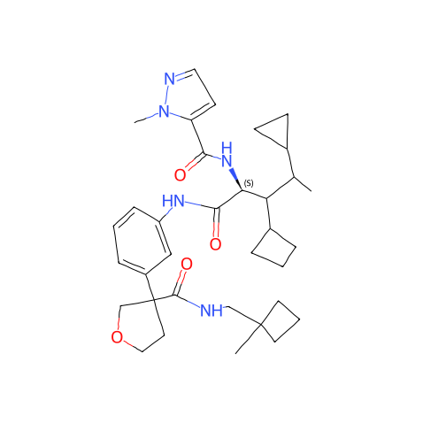 CC(C1CC1)C(C1CCC1)[C@H](NC(=O)c1ccnn1C)C(=O)Nc1cccc(C2(C(=O)NCC3(C)CCC3)CCOC2)c1